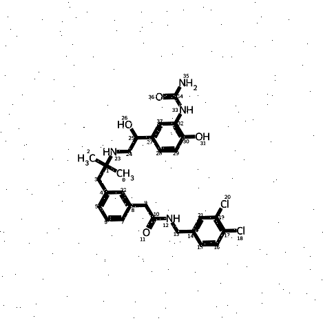 CC(C)(Cc1cccc(CC(=O)NCc2ccc(Cl)c(Cl)c2)c1)NCC(O)c1ccc(O)c(NC(N)=O)c1